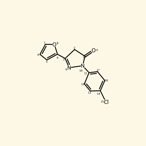 O=C1CC(c2ccco2)=NN1c1ccc(Cl)cc1